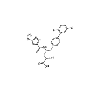 COc1cc(C(=O)NC(Cc2ccc(-c3cc(Cl)ccc3F)cc2)CC(O)C(=O)O)on1